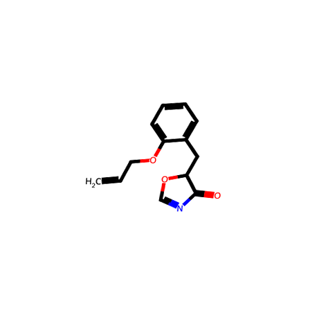 C=CCOc1ccccc1CC1OC=NC1=O